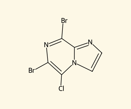 Clc1c(Br)nc(Br)c2nccn12